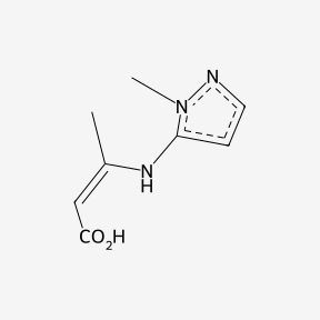 C/C(=C/C(=O)O)Nc1ccnn1C